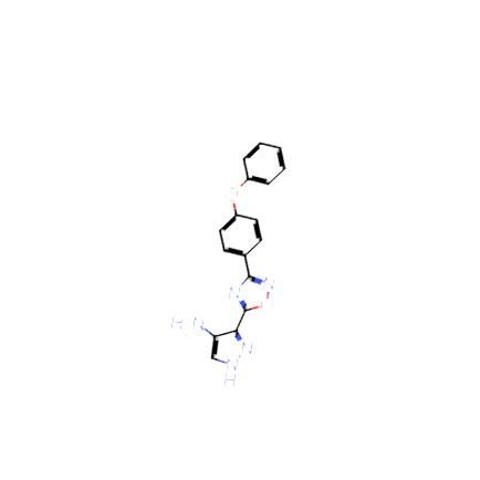 Nc1c[nH]nc1-c1nc(-c2ccc(Oc3ccccc3)cc2)no1